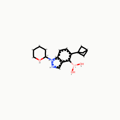 OB(O)c1c(C23CC(C2)C3)ccc2c1cnn2C1CCCCO1